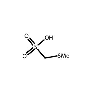 CSCS(=O)(=O)O